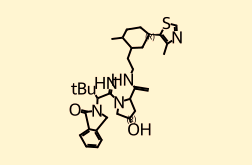 C=C(NCCC1C[C@H](c2scnc2C)CCC1C)C1C[C@@H](O)CN1C(=N)C(N1Cc2ccccc2C1=O)C(C)(C)C